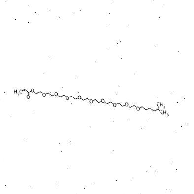 C=CC(=O)OCCOCCOCCOCCOCCOCCOCCOCCOCCOCCCCC(C)C